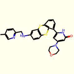 Cc1ccc(CNc2ccc3c(c2)Sc2cccc(-c4cc(N5CCOCC5)cc(=O)[nH]4)c2S3)nc1